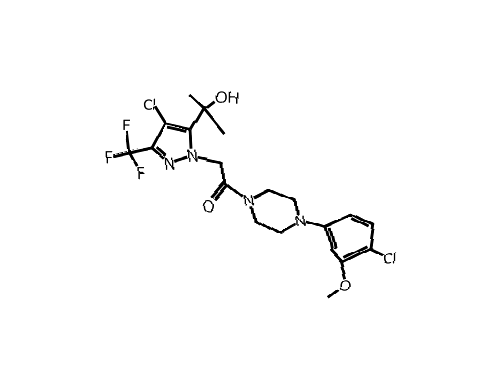 COc1cc(N2CCN(C(=O)Cn3nc(C(F)(F)F)c(Cl)c3C(C)(C)O)CC2)ccc1Cl